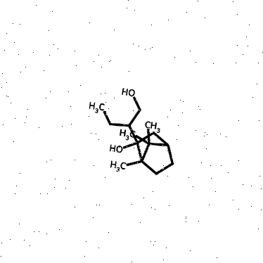 CCC(CO)C1(O)CC2CCC1(C)C2(C)C